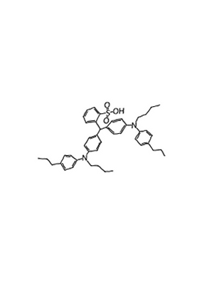 CCCCN(c1ccc(CCC)cc1)c1ccc(C(c2ccc(N(CCCC)c3ccc(CCC)cc3)cc2)c2ccccc2S(=O)(=O)O)cc1